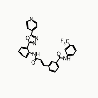 O=C(C=Cc1cccc(C(=O)Nc2cccc(C(F)(F)F)c2)c1)Nc1ccccc1-c1nnc(-c2ccncc2)o1